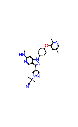 CNc1cc2c(cn1)c(-c1cnn(C(C)(C)C#N)c1)nn2C1CCC(Oc2cc(C)cnc2C)CC1